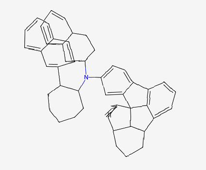 C1=CC2CCC(N(c3ccc4c(c3)C35c6ccccc6C6CCCC(c7cccc-4c73)C65)C3CCCCCC3c3ccc4ccccc4c3)CC2C=C1